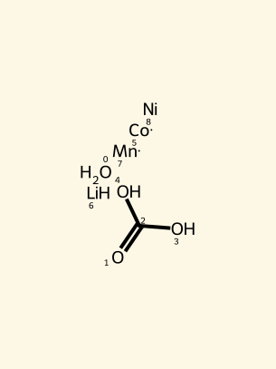 O.O=C(O)O.[Co].[LiH].[Mn].[Ni]